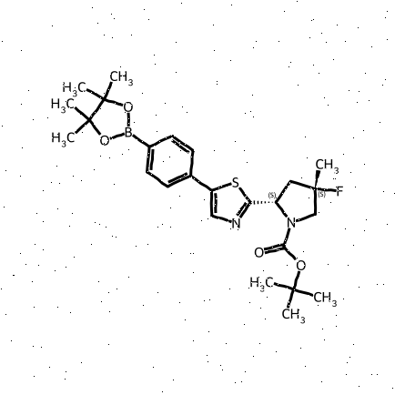 CC(C)(C)OC(=O)N1C[C@@](C)(F)C[C@H]1c1ncc(-c2ccc(B3OC(C)(C)C(C)(C)O3)cc2)s1